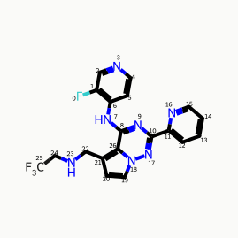 Fc1cnccc1Nc1nc(-c2ccccn2)nn2ccc(CNCC(F)(F)F)c12